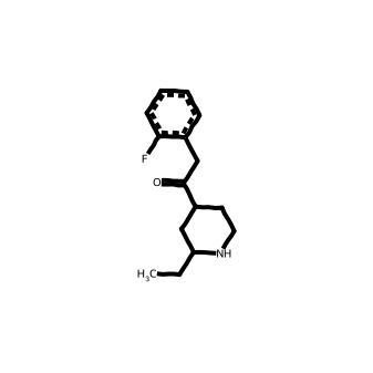 CCC1CC(C(=O)Cc2ccccc2F)CCN1